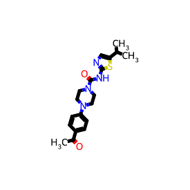 CC(=O)c1ccc(N2CCN(C(=O)Nc3ncc(C(C)C)s3)CC2)cc1